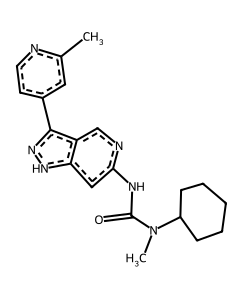 Cc1cc(-c2n[nH]c3cc(NC(=O)N(C)C4CCCCC4)ncc23)ccn1